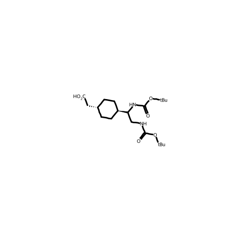 CC(C)(C)OC(=O)NCC(NC(=O)OC(C)(C)C)[C@H]1CC[C@H](CC(=O)O)CC1